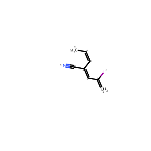 C=C(I)/C=C(C#N)\C=C/C